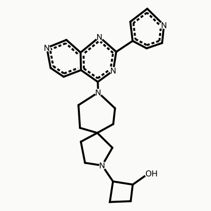 OC1CCC1N1CCC2(CCN(c3nc(-c4ccncc4)nc4cnccc34)CC2)C1